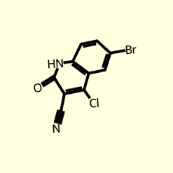 N#Cc1c(Cl)c2cc(Br)ccc2[nH]c1=O